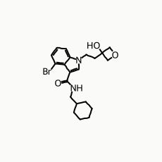 O=C(NCC1CCCCC1)c1cn(CCC2(O)COC2)c2cccc(Br)c12